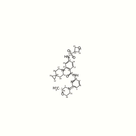 C[C@@H]1CN(c2cccc(NC(=O)c3ccc(NS(=O)(=O)C4COC4)cc3N3CCC4(CC3)CC4)n2)CCO1